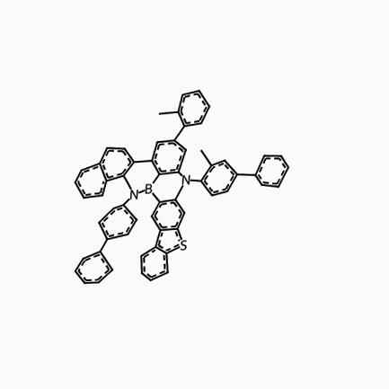 Cc1ccccc1-c1cc2c3c(c1)N(c1ccc(-c4ccccc4)cc1C)c1cc4sc5ccccc5c4cc1B3N(c1ccc(-c3ccccc3)cc1)c1c-2ccc2ccccc12